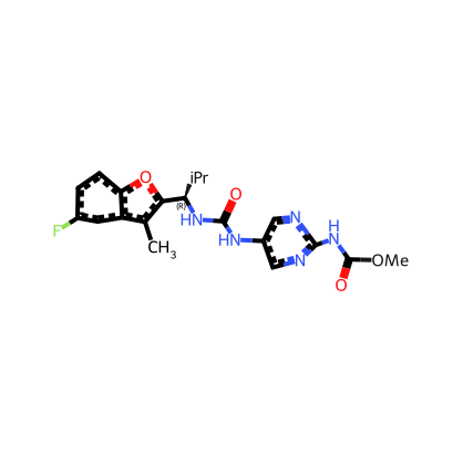 COC(=O)Nc1ncc(NC(=O)N[C@@H](c2oc3ccc(F)cc3c2C)C(C)C)cn1